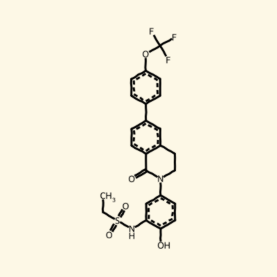 CCS(=O)(=O)Nc1cc(N2CCc3cc(-c4ccc(OC(F)(F)F)cc4)ccc3C2=O)ccc1O